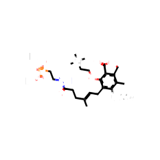 CCOP(=O)(CCNC(=O)CC/C(C)=C/Cc1c(OC)c(C)c2c(c1OCC[Si](C)(C)C)C(=O)OC2)OCC